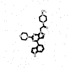 CN1CCN(C(=O)Cn2ncc3c(-c4cccc5[nH]ccc45)nc(N4CCOCC4)nc32)CC1